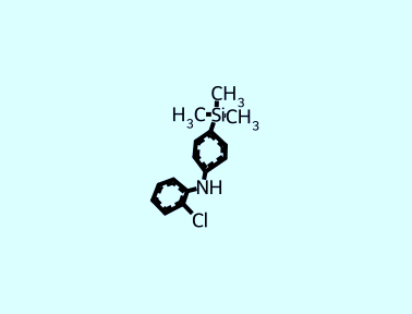 C[Si](C)(C)c1ccc(Nc2ccccc2Cl)cc1